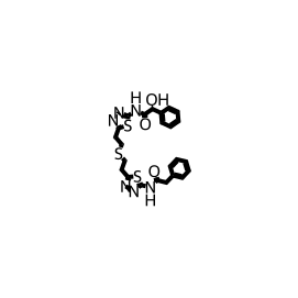 O=C(Cc1ccccc1)Nc1nnc(CCSCCc2nnc(NC(=O)[C@H](O)c3ccccc3)s2)s1